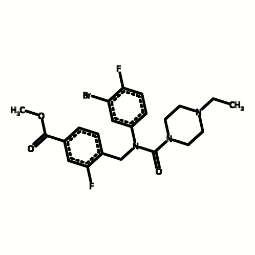 CCN1CCN(C(=O)N(Cc2ccc(C(=O)OC)cc2F)c2ccc(F)c(Br)c2)CC1